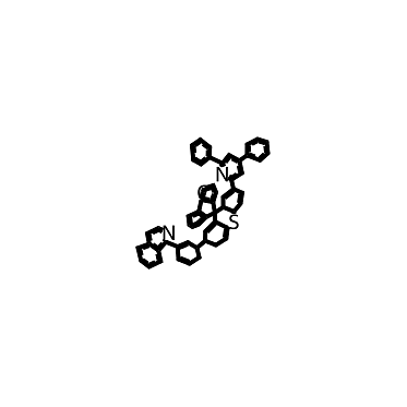 C1=CC(c2nccc3ccccc23)=CC(C2C=C3C(=CC2)SC2C=CC(c4cc(-c5ccccc5)cc(-c5ccccc5)n4)=CC2C32c3ccccc3-c3ccccc32)C1